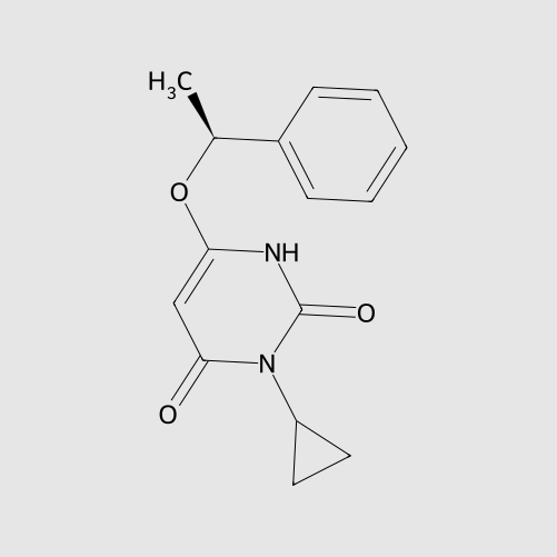 C[C@H](Oc1cc(=O)n(C2CC2)c(=O)[nH]1)c1ccccc1